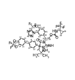 CC(C)(C)C[C@]1(c2ccc(-c3ccc4c(c3)OC(F)(F)O4)cc2)NC(=N)N([C@H](COC(=O)NC2(C(F)(F)F)CC2)c2ccc(Cl)c(-n3ncnc3C(F)F)c2)C1=O